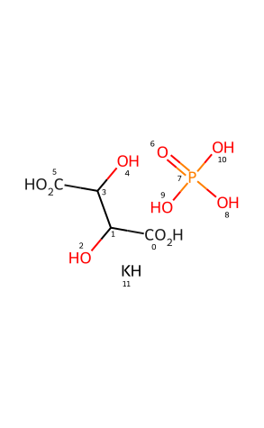 O=C(O)C(O)C(O)C(=O)O.O=P(O)(O)O.[KH]